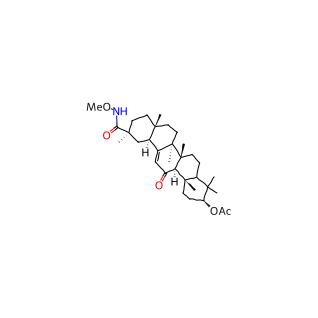 CONC(=O)[C@@]1(C)CC[C@]2(C)CC[C@]3(C)C(=CC(=O)[C@@H]4[C@@]5(C)CC[C@H](OC(C)=O)C(C)(C)C5CC[C@]43C)[C@H]2C1